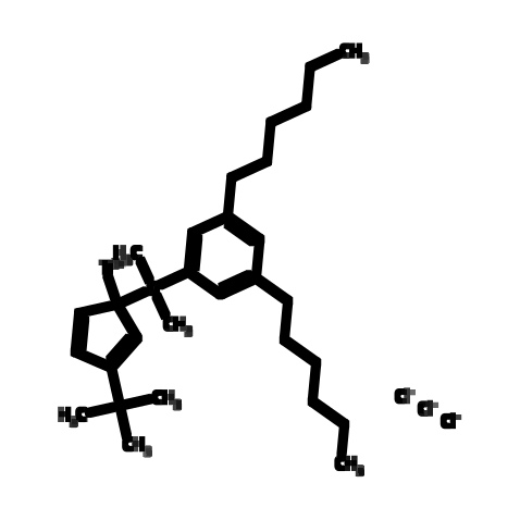 CCCCCCc1cc(CCCCCC)cc([Si](C)(C)[C]2([Ti+3])C=CC(C(C)(C)C)=C2)c1.[Cl-].[Cl-].[Cl-]